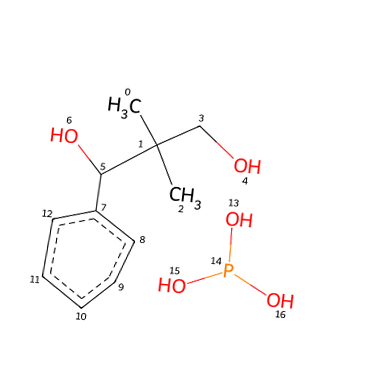 CC(C)(CO)C(O)c1ccccc1.OP(O)O